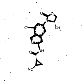 C[C@H]1COC(=O)N1c1cc(Cl)c2cnc(NC(=O)[C@@H]3C[C@H]3C#N)cc2c1